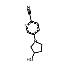 N#Cc1ccc(N2CCC(O)C2)cn1